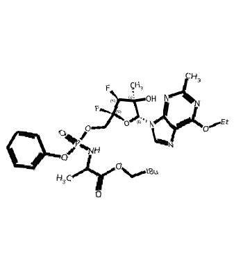 CCOc1nc(C)nc2c1ncn2[C@@H]1O[C@](F)(COP(=O)(NC(C)C(=O)OCC(C)(C)C)Oc2ccccc2)[C@@H](F)[C@@]1(C)O